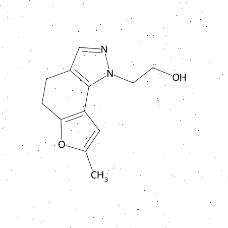 Cc1cc2c(o1)CCc1cnn(CCO)c1-2